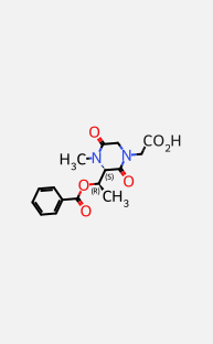 C[C@@H](OC(=O)c1ccccc1)[C@H]1C(=O)N(CC(=O)O)CC(=O)N1C